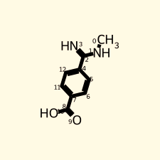 CNC(=N)c1ccc(C(=O)O)cc1